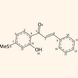 CSc1ccc(C(=O)C=Cc2ccccc2)c(O)c1